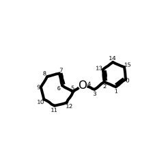 C1=CC(COC2/C=C/CCCCC2)=CCC1